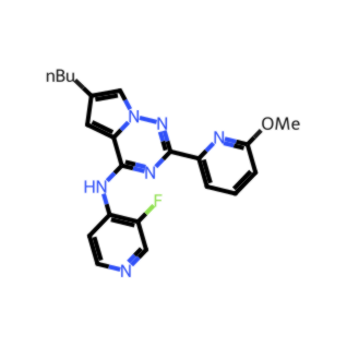 CCCCc1cc2c(Nc3ccncc3F)nc(-c3cccc(OC)n3)nn2c1